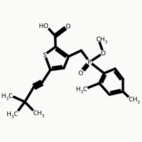 COP(=O)(Cc1cc(C#CC(C)(C)C)sc1C(=O)O)c1ccc(C)cc1C